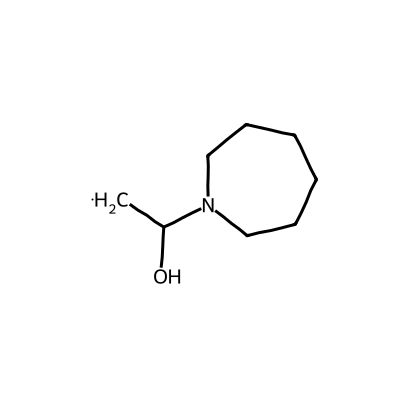 [CH2]C(O)N1CCCCCC1